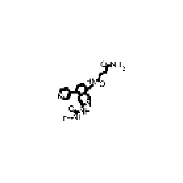 CCNC(=O)Nc1cc2c(-c3ccncc3)ccc(CNC(=O)CCC(N)=O)c2cn1